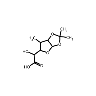 CC1C2OC(C)(C)OC2OC1C(O)C(=O)O